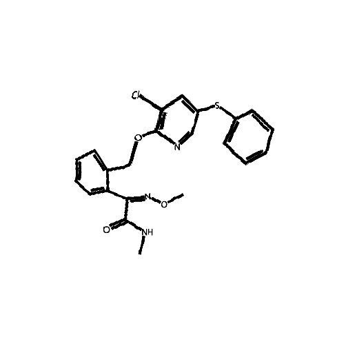 CNC(=O)C(=NOC)c1ccccc1COc1ncc(Sc2ccccc2)cc1Cl